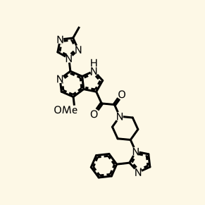 COc1cnc(-n2cnc(C)n2)c2[nH]cc(C(=O)C(=O)N3CCC(n4ccnc4-c4ccccc4)CC3)c12